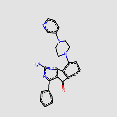 Nc1nc(-c2ccccc2)c2c(n1)-c1c(cccc1N1CCN(c3cccnc3)CC1)C2=O